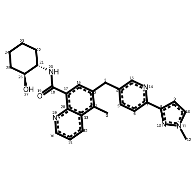 Cc1c(Cc2ccc(-c3ccn(C)n3)nc2)cc(C(=O)N[C@H]2CCCC[C@@H]2O)c2ncccc12